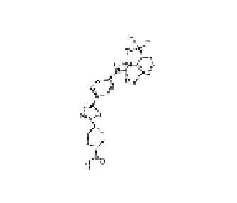 COC(=O)C1CCC(c2ncc(-c3ccc(NC(=O)Nc4c(F)cccc4C(F)(F)F)cc3)s2)CC1